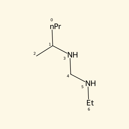 CCCC(C)NCNCC